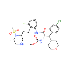 COC(=O)N[C@H](C(=O)Nc1cccc(F)c1CC[C@H]1CNC[C@H](C)N1S(C)(=O)=O)C(c1ccc(Cl)cc1)C1CCOCC1